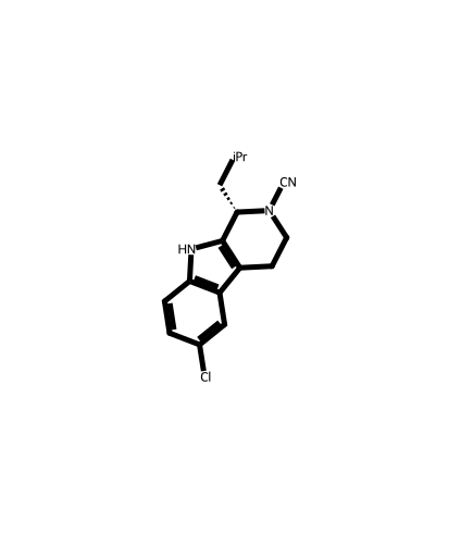 CC(C)C[C@H]1c2[nH]c3ccc(Cl)cc3c2CCN1C#N